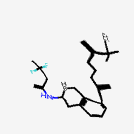 C=C(CC(C)(F)F)NC1BCc2c(cccc2C(=C)CCCC(=C)C(C)(C)CC)C1